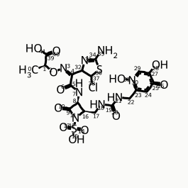 C[C@H](O/N=C(\C(=O)N[C@@H]1C(=O)N(S(=O)(=O)O)[C@@H]1CNC(=O)NCc1cc(=O)c(O)cn1O)C1N=C(N)SC1Cl)C(=O)O